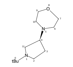 CC(C)(C)N1CC[C@H](N2CCOCC2)C1